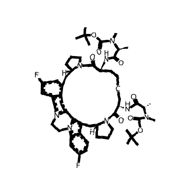 C[C@@H](C(=O)N[C@H]1CCCC[C@H](NC(=O)[C@H](C)N(C)C(=O)OC(C)(C)C)C(=O)N2CCC[C@H]2Cc2c3n(c4cc(F)ccc24)CCn2c-3cc3c(cc(F)cc32)C[C@@H]2CCCN2C1=O)N(C)C(=O)OC(C)(C)C